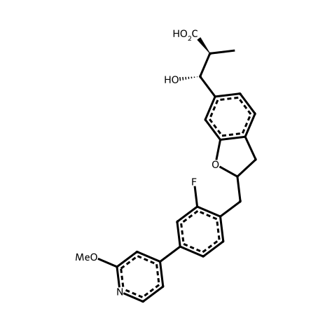 COc1cc(-c2ccc(CC3Cc4ccc([C@H](O)[C@H](C)C(=O)O)cc4O3)c(F)c2)ccn1